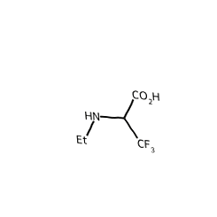 CCNC(C(=O)O)C(F)(F)F